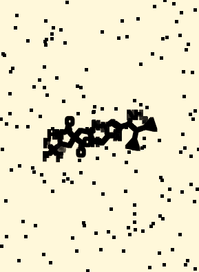 NC(c1cn2nc(CC3(C(=O)O)C[C@@H](C(F)(F)F)NC3=O)ccc2n1)C(C1CC1)C1CC1